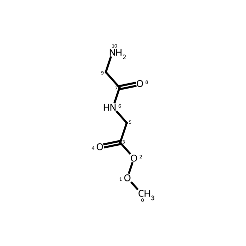 COOC(=O)CNC(=O)CN